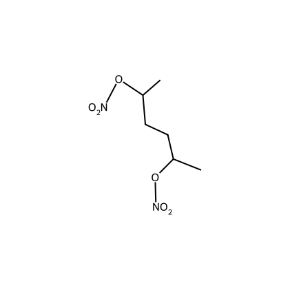 CC(CCC(C)O[N+](=O)[O-])O[N+](=O)[O-]